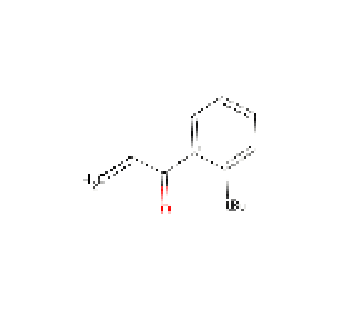 C=CC(=O)c1ccccc1C(C)(C)C